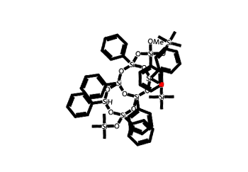 CO[Si](O[Si](C)(C)C)(O[Si]1(c2ccccc2)O[Si]2(c3ccccc3)O[SiH](c3ccccc3)O[Si](O[Si](C)(C)C)(c3ccccc3)O[Si](c3ccccc3)(O2)O[Si](O[Si](C)(C)C)(c2ccccc2)O1)c1ccccc1